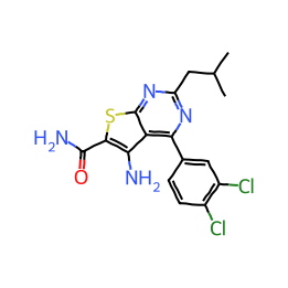 CC(C)Cc1nc(-c2ccc(Cl)c(Cl)c2)c2c(N)c(C(N)=O)sc2n1